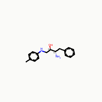 Cc1ccc(NC[C@@H](O)[C@@H](N)Cc2ccccc2)cc1